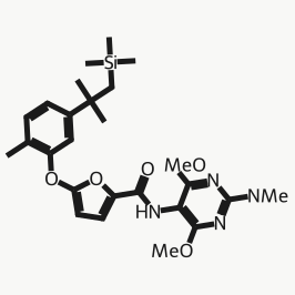 CNc1nc(OC)c(NC(=O)c2ccc(Oc3cc(C(C)(C)C[Si](C)(C)C)ccc3C)o2)c(OC)n1